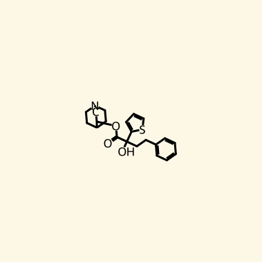 O=C(OC1CN2CCC1CC2)C(O)(CCc1ccccc1)c1cccs1